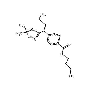 CCCCOC(=O)c1ccc(C(CCC)C(=O)OC(C)(C)C)cc1